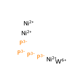 [Ni+2].[Ni+2].[Ni+2].[P-3].[P-3].[P-3].[P-3].[W+6]